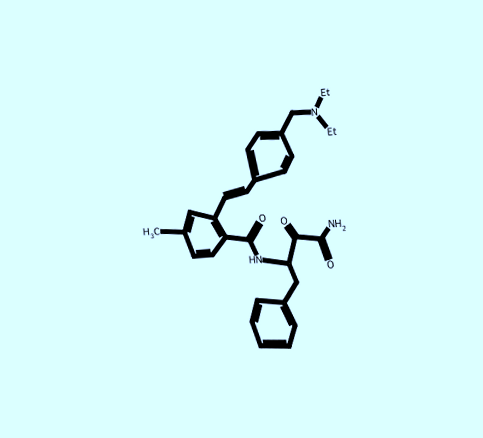 CCN(CC)Cc1ccc(/C=C/c2cc(C)ccc2C(=O)NC(Cc2ccccc2)C(=O)C(N)=O)cc1